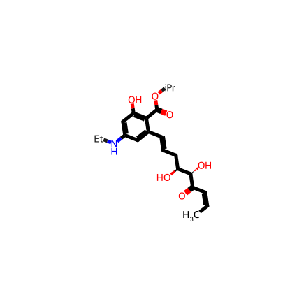 C/C=C\C(=O)[C@@H](O)[C@@H](O)C/C=C/c1cc(NCC)cc(O)c1C(=O)OC(C)C